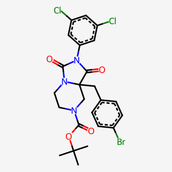 CC(C)(C)OC(=O)N1CCN2C(=O)N(c3cc(Cl)cc(Cl)c3)C(=O)C2(Cc2ccc(Br)cc2)C1